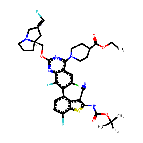 CCOC(=O)C1CCN(c2nc(OC[C@@]34CCCN3C/C(=C\F)C4)nc3c(F)c(-c4ccc(F)c5sc(NC(=O)OC(C)(C)C)c(C#N)c45)c(Cl)cc23)CC1